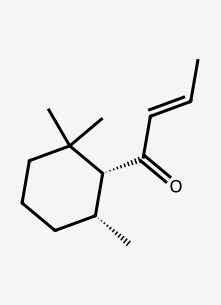 C/C=C/C(=O)[C@@H]1[C@H](C)CCCC1(C)C